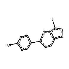 Nc1ncc(-c2ccc3ncc(I)n3n2)cn1